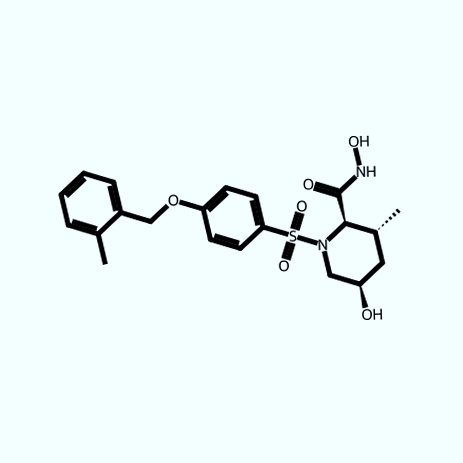 Cc1ccccc1COc1ccc(S(=O)(=O)N2C[C@H](O)C[C@@H](C)[C@@H]2C(=O)NO)cc1